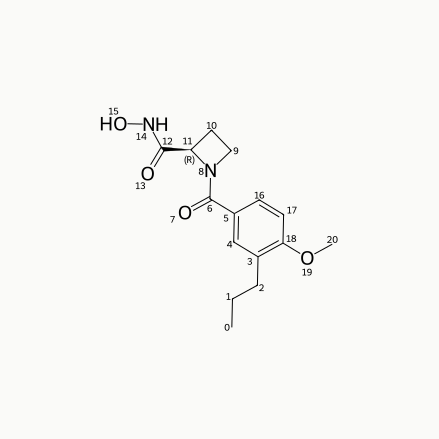 CCCc1cc(C(=O)N2CC[C@@H]2C(=O)NO)ccc1OC